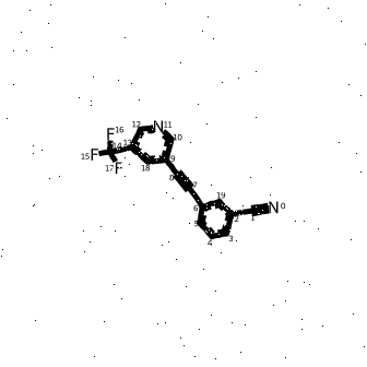 N#Cc1cccc(C#Cc2cncc(C(F)(F)F)c2)c1